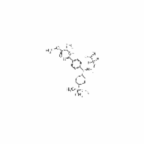 COC(=O)C(C)NC(=O)c1ccc(C(N)[C@H]2CC[C@H](C(C)(C)C)CC2)cc1.O=C(O)C(F)(F)F